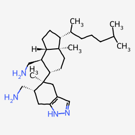 CC(C)CCCC(C)[C@H]1CC[C@H]2[C@H](CN)[C@@H]([C@@]3(C)Cc4cn[nH]c4C[C@@H]3CN)CC[C@]12C